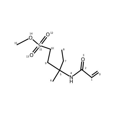 C=CC(=O)NC(C)(CC)CCS(=O)(=O)OC